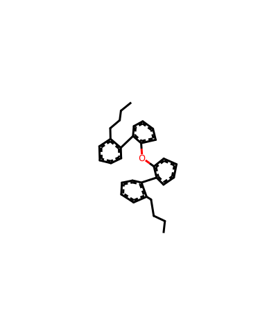 CCCCc1ccccc1-c1ccccc1Oc1ccccc1-c1ccccc1CCCC